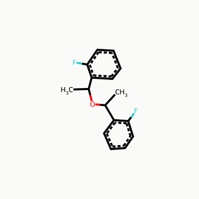 CC(OC(C)c1ccccc1F)c1ccccc1F